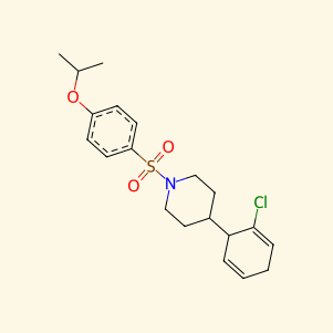 CC(C)Oc1ccc(S(=O)(=O)N2CCC(C3C=CCC=C3Cl)CC2)cc1